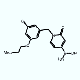 COCCOc1cc(Cl)cc(Cn2ccc(B(O)O)cc2=O)c1